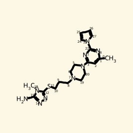 Cc1cc(N2CCN(CCCSc3nnc(N)n3C)CC2)nc(-n2cccc2)n1